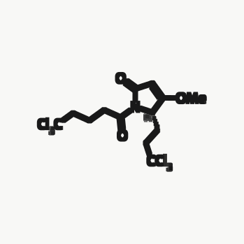 COC1=CC(=O)N(C(=O)CCCC(Cl)(Cl)Cl)[C@H]1CCC(Cl)(Cl)Cl